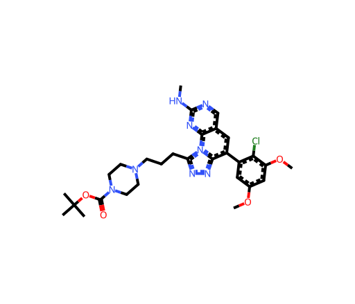 CNc1ncc2cc(-c3cc(OC)cc(OC)c3Cl)c3nnc(CCCN4CCN(C(=O)OC(C)(C)C)CC4)n3c2n1